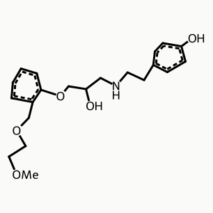 COCCOCc1ccccc1OCC(O)CNCCc1ccc(O)cc1